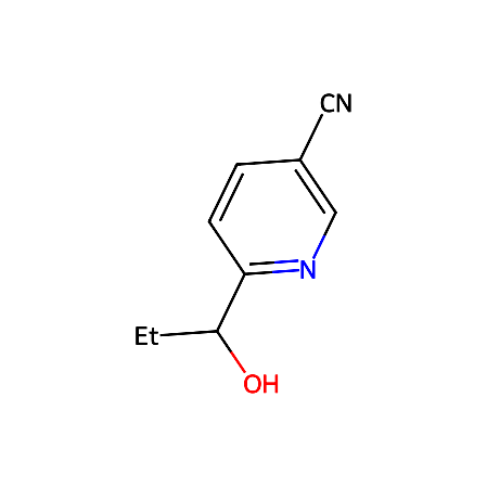 CCC(O)c1ccc(C#N)cn1